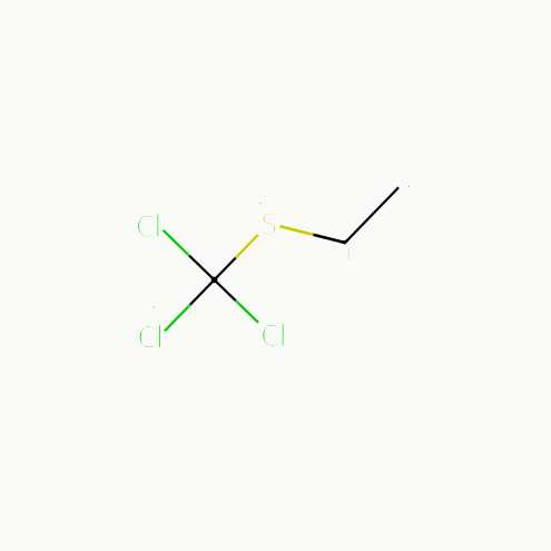 [CH2]CSC(Cl)(Cl)Cl